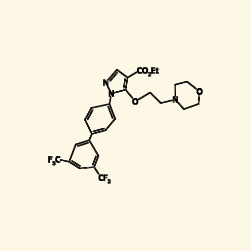 CCOC(=O)c1cnn(-c2ccc(-c3cc(C(F)(F)F)cc(C(F)(F)F)c3)cc2)c1OCCN1CCOCC1